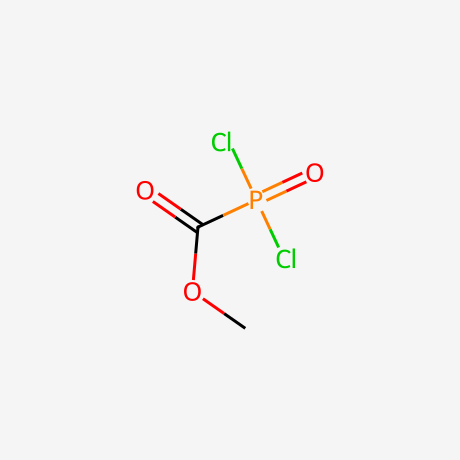 COC(=O)P(=O)(Cl)Cl